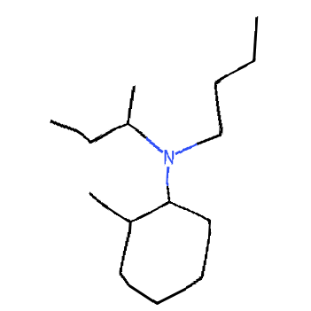 CCCCN(C(C)CC)C1CCCCC1C